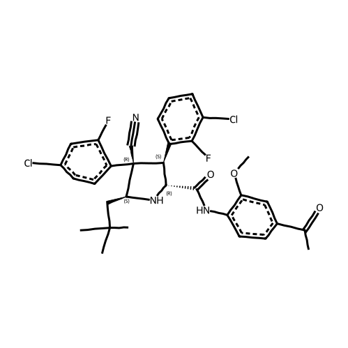 COc1cc(C(C)=O)ccc1NC(=O)[C@@H]1N[C@@H](CC(C)(C)C)[C@](C#N)(c2ccc(Cl)cc2F)[C@H]1c1cccc(Cl)c1F